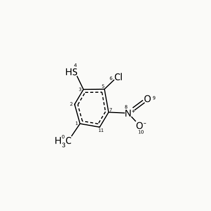 Cc1cc(S)c(Cl)c([N+](=O)[O-])c1